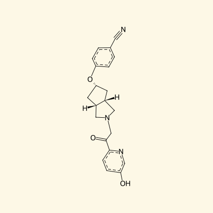 N#Cc1ccc(O[C@@H]2C[C@@H]3CN(CC(=O)c4ccc(O)cn4)C[C@@H]3C2)cc1